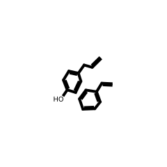 C=CCc1ccc(O)cc1.C=Cc1ccccc1